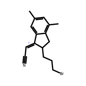 Cc1cc(C)c2c(c1)/C(=C/C#N)C(CCCBr)C2